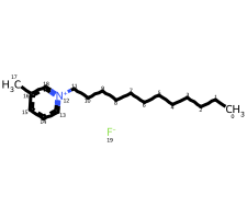 CCCCCCCCCCCC[n+]1cccc(C)c1.[F-]